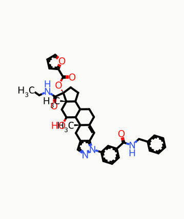 CCNC(=O)[C@@]1(OC(=O)c2ccco2)CCC2C3CCC4=Cc5c(cnn5-c5cccc(C(=O)NCc6ccccc6)c5)C[C@]4(C)C3C(O)C[C@@]21C